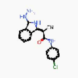 N#CC(C(=O)Nc1ccc(Cl)cc1)=C1NC(NN)c2ccccc21